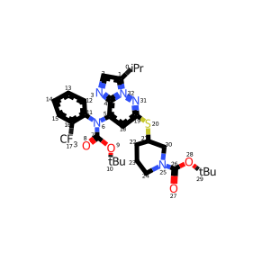 CC(C)c1cnc2c(N(C(=O)OC(C)(C)C)c3ccccc3C(F)(F)F)cc(SC3CCCN(C(=O)OC(C)(C)C)C3)nn12